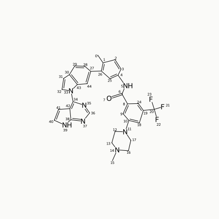 Cc1ccc(NC(=O)c2cc(N3CCN(C)CC3)cc(C(F)(F)F)c2)cc1-c1ccc2ccn(-c3ncnc4[nH]ccc34)c2c1